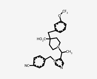 CC(c1cncn1Cc1ccc(C#N)cc1)N1CCC(Cc2cccc(OC(F)(F)F)c2)(C(=O)O)CC1